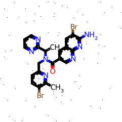 Cc1nc(CN(C(=O)c2cnc3nc(N)c(Br)cc3c2)C(C)c2ncccn2)ccc1Br